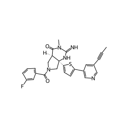 CC#Cc1cncc(-c2ccc([C@]34CN(C(=O)c5cccc(F)c5)C[C@H]3C(=O)N(C)C(=N)N4)s2)c1